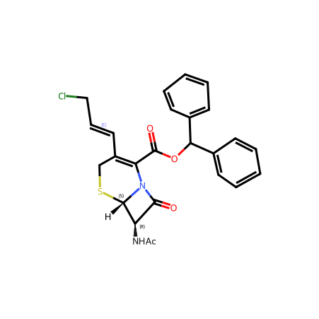 CC(=O)N[C@@H]1C(=O)N2C(C(=O)OC(c3ccccc3)c3ccccc3)=C(/C=C/CCl)CS[C@@H]12